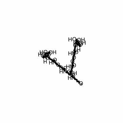 COCCCCCCNC(=O)C[C@H](CCCCNC(=O)CCOCCOCCNC(=O)CCCCO[C@@H]1OC(CO)[C@@H](O)[C@H](O)C1NC(C)=O)NC(=O)CCCNC(=O)CCOCCOCCNC(=O)CCCCO[C@@H]1OC(CO)[C@@H](O)[C@H](O)C1NC(C)=O